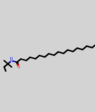 CCCCCCCCCCCCCCCCCC(=O)NC(C)(C)CC